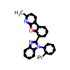 Cc1ccc2c(n1)oc1c(-c3nc4ccccc4n3-c3ccccc3C(C)C)cccc12